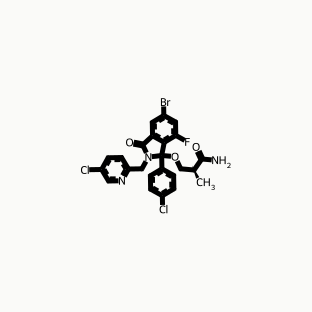 C[C@@H](COC1(c2ccc(Cl)cc2)c2c(F)cc(Br)cc2C(=O)N1Cc1ccc(Cl)cn1)C(N)=O